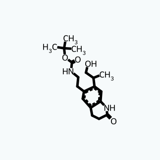 CC(CO)c1cc2c(cc1CCNC(=O)OC(C)(C)C)CCC(=O)N2